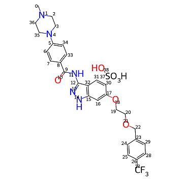 CN1CCN(c2ccc(C(=O)Nc3n[nH]c4cc(OCCOCc5ccc(C(F)(F)F)cc5)ccc34)cc2)CC1.O=S(=O)(O)O